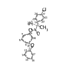 CC(C)C(C)(C(=O)Oc1cccc(Oc2ccccc2)c1)c1ccc(Cl)cc1